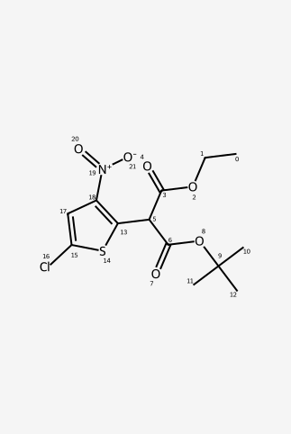 CCOC(=O)C(C(=O)OC(C)(C)C)c1sc(Cl)cc1[N+](=O)[O-]